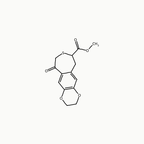 COC(=O)C1Cc2cc3c(cc2C(=O)CS1)OCCO3